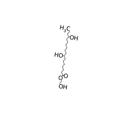 CCCC(O)CCCCCCC(O)CCCCCCC(=O)OCCO